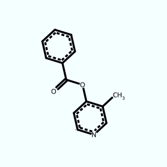 Cc1cn[c]cc1OC(=O)c1ccccc1